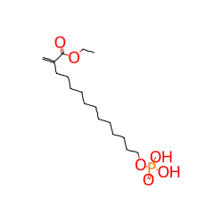 C=C(CCCCCCCCCCCCOP(=O)(O)O)C(=O)OCC